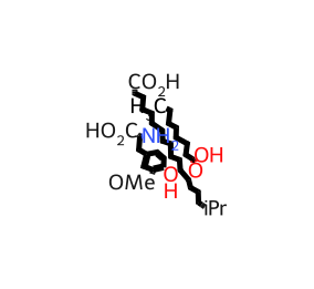 CC(C)CCCCCCCCCCCCCCCC(=O)O.CCCCCCCC(=O)O.COc1cc(CC(N)C(=O)O)ccc1O